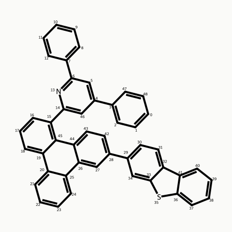 c1ccc(-c2cc(-c3ccccc3)nc(-c3cccc4c5ccccc5c5cc(-c6ccc7c(c6)sc6ccccc67)ccc5c34)c2)cc1